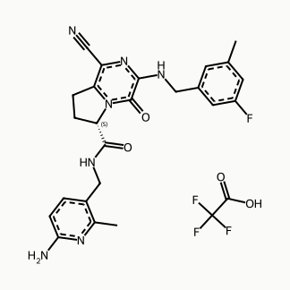 Cc1cc(F)cc(CNc2nc(C#N)c3n(c2=O)[C@H](C(=O)NCc2ccc(N)nc2C)CC3)c1.O=C(O)C(F)(F)F